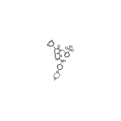 CCS(=O)(=O)c1ccccc1Cn1c(=O)c(-c2cncnc2)cc2cnc(Nc3ccc(N4CCN(C)CC4)cc3)nc21